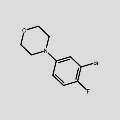 Fc1ccc(N2CCOCC2)cc1Br